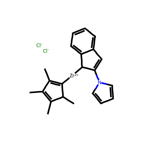 CC1=C(C)C(C)[C]([Zr+2][CH]2C(n3cccc3)=Cc3ccccc32)=C1C.[Cl-].[Cl-]